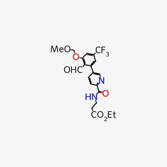 CCOC(=O)CCNC(=O)c1ccc(-c2cc(C(F)(F)F)cc(OCOC)c2C=O)cn1